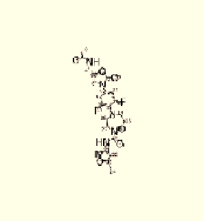 CC(=O)NC[C@H]1CN(c2cc(F)c(N3CCON(C(=O)Nc4cc(C)on4)CC3)c(F)c2)C(=O)O1